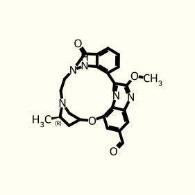 COc1nc2cc(C=O)cc3c2nc1-c1cccc2c(=O)n([nH]c12)CCN1CC(C[C@H]1C)O3